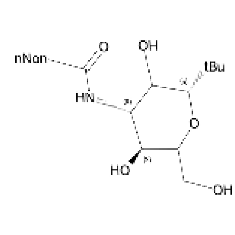 CCCCCCCCCC(=O)N[C@@H]1C(O)[C@H](C(C)(C)C)OC(CO)[C@H]1O